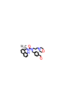 C[C@H](NC(=O)N(CCCN1CCOCC1)Cc1ccc(C=O)cc1)c1cccc2ccccc12